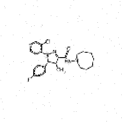 C[C@@H]1C(C(=O)NN2CCCCCCC2)=NN(c2ccccc2Cl)[C@@H]1c1ccc(F)cc1